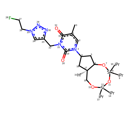 Cc1cn(C2CC3O[Si](C(C)C)(C(C)C)O[Si](C(C)C)(C(C)C)OC[C@H]3C2)c(=O)n(Cc2cn(CCF)nn2)c1=O